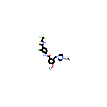 COc1ccc(C(=O)Nc2ccc(-c3csc(C(F)(F)F)n3)c(Cl)c2)c(CN2CCN(C)CC2)c1